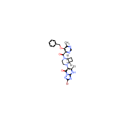 CCc1[nH]c2nc(Br)nn2c(=O)c1N1CCN(C(=O)c2ncnc(C)c2OCc2ccccc2)[C@H]2CC[C@@H]21